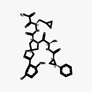 COc1ccc(Cl)cc1C1=NO[C@]2(C1)C[C@@H](C(=O)N[C@@H](CC1CC1)C(=O)C(N)=O)N(C(=O)[C@@H](NC(=O)[C@@H]1C[C@H]1c1ccccc1)C(C)(C)C)C2